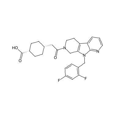 O=C(C[C@H]1CC[C@@H](C(=O)O)CC1)N1CCc2c(n(Cc3ccc(F)cc3F)c3ncccc23)C1